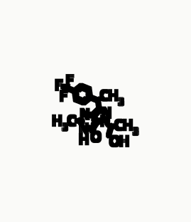 Cc1nc2c([C@H](C)c3ccc(C(F)(F)F)cc3)nn(C(C)CO)c2c(=O)[nH]1